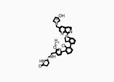 COc1nc(-c2cccc(-c3cccc4c3CCN4c3nccc4cc(CN5CC[C@@H](O)C5)cnc34)c2Cl)ccc1CNC[C@@H]1CCC(=O)N1